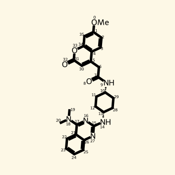 COc1ccc2c(CC(=O)N[C@H]3CC[C@@H](Nc4nc(N(C)C)c5ccccc5n4)CC3)cc(=O)oc2c1